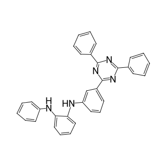 c1ccc(Nc2ccccc2Nc2cccc(-c3nc(-c4ccccc4)nc(-c4ccccc4)n3)c2)cc1